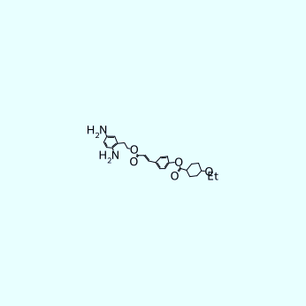 CCOC1CCC(C(=O)Oc2ccc(/C=C/C(=O)OCCc3cc(N)ccc3N)cc2)CC1